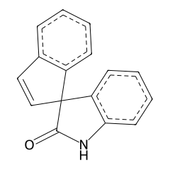 O=C1Nc2ccccc2C12C=Cc1ccccc12